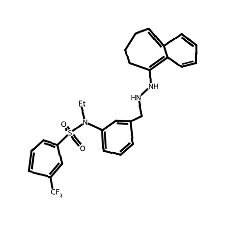 CCN(c1cccc(CNNC2=c3ccccc3=CCCC2)c1)S(=O)(=O)c1cccc(C(F)(F)F)c1